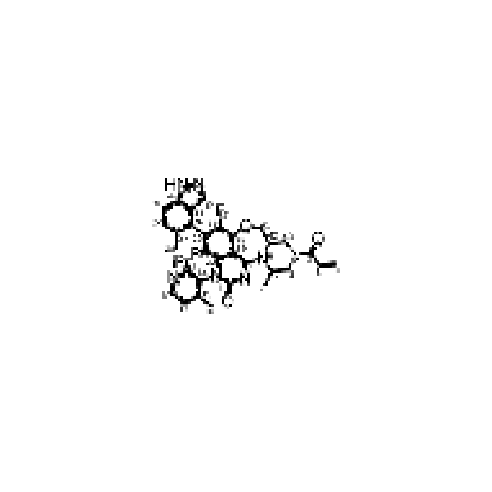 C=CC(=O)N1CC(C)N2c3nc(=O)n(-c4c(C)ccnc4C(C)C)c4c(F)c(-c5c(C)ccc6[nH]ncc56)c(F)c(c34)OCC2C1